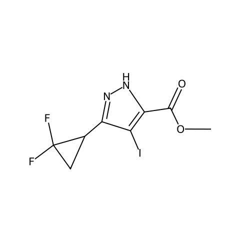 COC(=O)c1[nH]nc(C2CC2(F)F)c1I